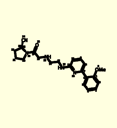 COc1ccccc1-c1cccc(NCCNCC(=O)N2CCC[C@H]2C#N)n1